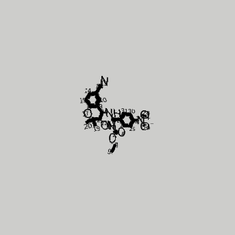 CCOC(=O)N=C(N[C@@H]1c2cc(C#N)ccc2OC(C)(C)[C@H]1O)c1ccc([N+](=O)[O-])cc1